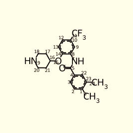 Cc1ccc(C(=O)Nc2cc(C(F)(F)F)ccc2OC2CCNCC2)cc1C